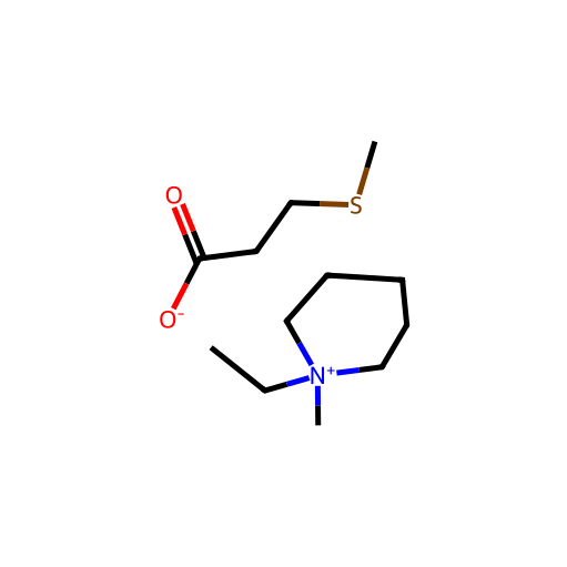 CC[N+]1(C)CCCCC1.CSCCC(=O)[O-]